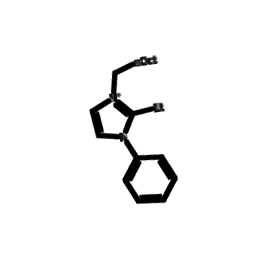 CCCCCCCCC[n+]1ccn(-c2ccccc2)c1CC